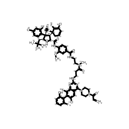 C=CC(=O)N1CCN(c2nc(NCCC(=O)N(C)CCNC(=O)c3ccc(NC(=O)[C@@H]4N[C@@H](CC(C)(C)C)[C@](C#N)(c5ccc(Cl)cc5F)[C@H]4C4(C)CC=CC(Cl)=C4F)c(OC)c3)nc3c(F)c(-c4c(O)cccc4F)c(Cl)cc23)CC1